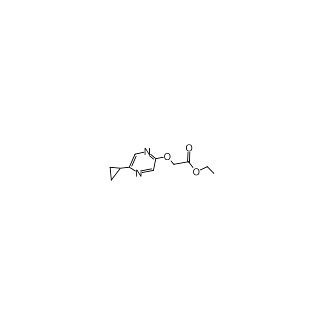 CCOC(=O)COc1cnc(C2CC2)cn1